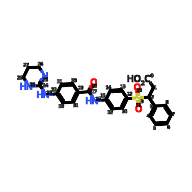 O=C(O)CC(c1ccccc1)S(=O)(=O)c1ccc(NC(=O)c2ccc(NC3=NCCCN3)cc2)cc1